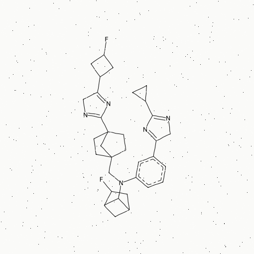 FC1CC(C2=NC(C34CCC(CN(c5cccc(C6=NC(C7CC7)=NC6)c5)C5C6CC(F)C5C6)(CC3)C4)=NC2)C1